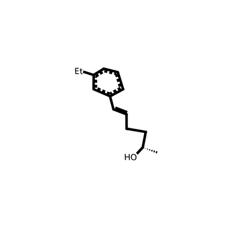 CCc1cccc(/C=C/CC[C@H](C)O)c1